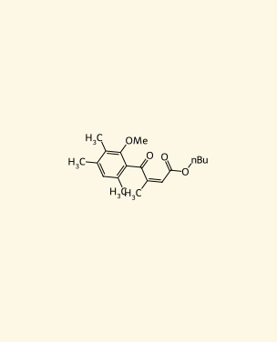 CCCCOC(=O)/C=C(/C)C(=O)c1c(C)cc(C)c(C)c1OC